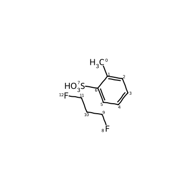 Cc1ccccc1S(=O)(=O)O.FCCCF